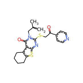 C=C(C)Cn1c(SCC(=O)c2ccncc2)nc2sc3c(c2c1=O)CCCC3